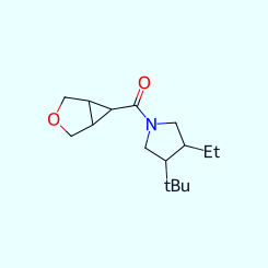 CCC1CN(C(=O)C2C3COCC32)CC1C(C)(C)C